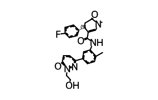 Cc1ccc(-c2ccc(=O)n(CCO)n2)cc1NC(=O)C1=CN(C)C(=O)C[C@H]1c1ccc(F)cc1